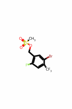 CS(=O)(=O)OCc1cc(Br)c(C(F)(F)F)cc1F